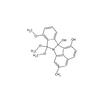 COc1cccc2c1C(OC)(OC)N1c3cc(C)cc4ccc(O)c(c34)C21O